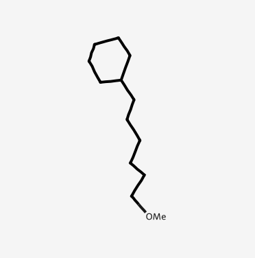 COCCCCCCC1CCCCC1